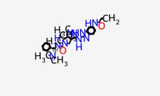 C=CC(=O)Nc1ccc2nc(Nc3nn(C)c4c3CN(C(=O)N[C@H](CN(C)C)c3ccccc3)C4(C)C)[nH]c2c1